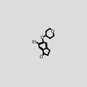 CCc1cc2c(cc1OC1CCOCC1)CCC2=O